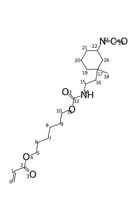 C=CC(=O)OCCCCCCOC(=O)NCCC1(C)CCCC(N=C=O)C1